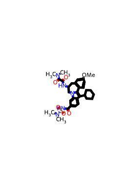 COc1ccc2c(c1)CC(NC(=O)C(=O)N(C)C)Cn1c-2c(C2CCCCC2)c2ccc(C(=O)NS(=O)(=O)N(C)C)cc21